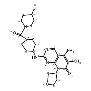 Cc1c(N)c2cnc(NC3CCC(C(=O)N4CCC(O)CC4)CC3)nc2n(C2CCOC2)c1=O